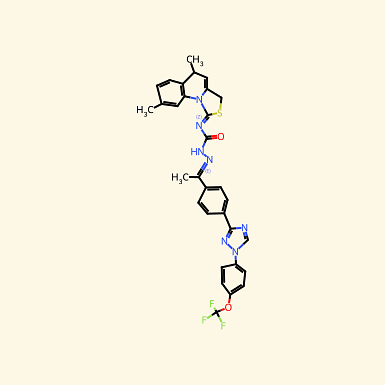 C/C(=N\NC(=O)/N=C1\SCC2=CC(C)c3ccc(C)cc3N21)c1ccc(-c2ncn(-c3ccc(OC(F)(F)F)cc3)n2)cc1